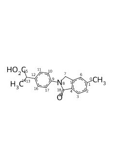 Cc1ccc2c(c1)CN(c1ccc(C(C)C(=O)O)cc1)C2=O